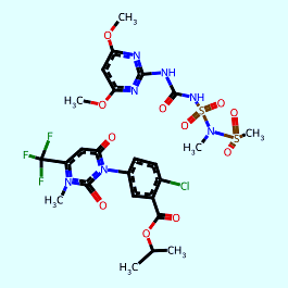 CC(C)OC(=O)c1cc(-n2c(=O)cc(C(F)(F)F)n(C)c2=O)ccc1Cl.COc1cc(OC)nc(NC(=O)NS(=O)(=O)N(C)S(C)(=O)=O)n1